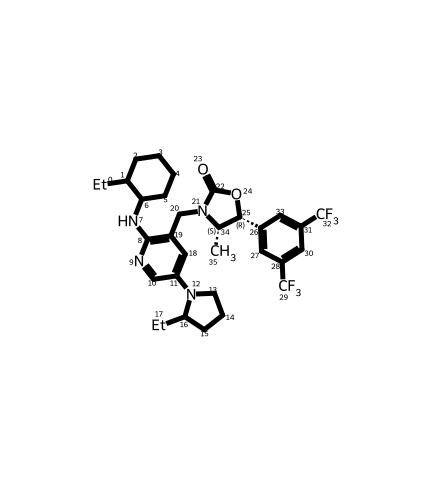 CCC1CCCCC1Nc1ncc(N2CCCC2CC)cc1CN1C(=O)O[C@H](c2cc(C(F)(F)F)cc(C(F)(F)F)c2)[C@@H]1C